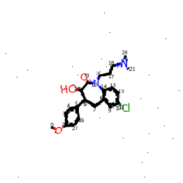 COc1ccc(C2Cc3cc(Cl)ccc3N(CCCN(C)C)C(=O)C2O)cc1